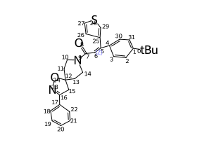 CC(C)(C)c1ccc(/C(=C/C(=O)N2CCC3(CC2)CC(c2ccccc2)=NO3)c2ccsc2)cc1